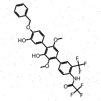 COc1cc(-c2ccc(NC(=O)C(F)(F)F)c(C(F)(F)F)c2)c(OC)c(O)c1-c1ccc(OCc2ccccc2)c(O)c1